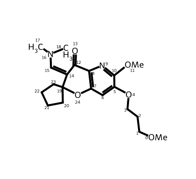 COCCCOc1cc2c(nc1OC)C(=O)C(=CN(C)C)C1(CCCC1)O2